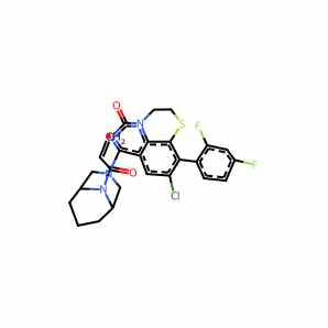 C=CC(=O)N1C2CCCC1CN(c1nc(=O)n3c4c(c(-c5ccc(F)cc5F)c(Cl)cc14)SCC3)C2